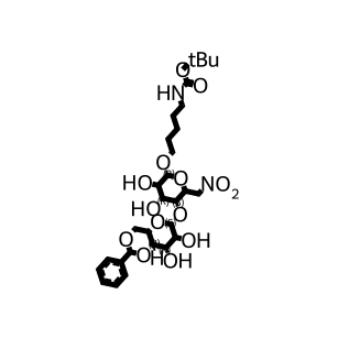 CC(C)(C)OC(=O)NCCCCCO[C@@H]1OC(C[N+](=O)[O-])[C@@H](O[C@@H]2OC3COC(c4ccccc4)O[C@@H]3[C@H](O)C2O)[C@H](O)C1O